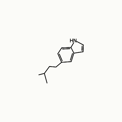 CC(C)CCc1ccc2[nH]ccc2c1